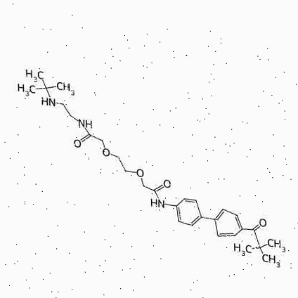 CC(C)(C)NCCNC(=O)COCCOCC(=O)Nc1ccc(-c2ccc(C(=O)C(C)(C)C)cc2)cc1